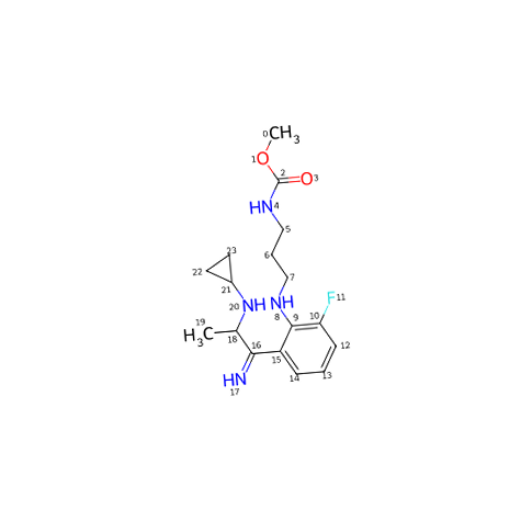 COC(=O)NCCCNc1c(F)cccc1C(=N)C(C)NC1CC1